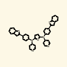 c1ccc2sc(-c3ccc(N(c4ccncc4)c4ccc(N(c5ccncc5)c5ccc(-c6cc7ccccc7s6)cc5)o4)cc3)cc2c1